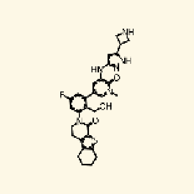 Cn1cc(-c2cc(F)cc(N3CCc4c(sc5c4CCCC5)C3=O)c2CO)cc(Nc2cc(C3CNC3)[nH]n2)c1=O